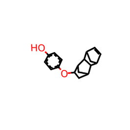 Oc1ccc(OC2CC3CC2C2C4C=CC(C4)C32)cc1